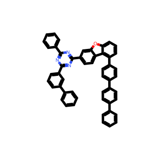 c1ccc(-c2ccc(-c3ccc(-c4cccc5oc6cc(-c7nc(-c8ccccc8)nc(-c8cccc(-c9ccccc9)c8)n7)ccc6c45)cc3)cc2)cc1